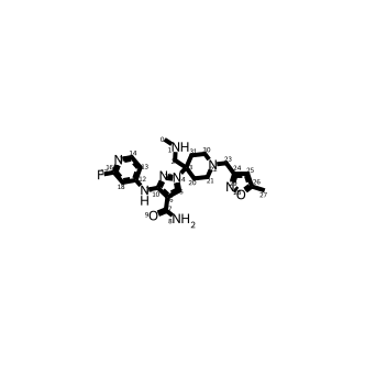 CNCC1(n2cc(C(N)=O)c(Nc3ccnc(F)c3)n2)CCN(Cc2cc(C)on2)CC1